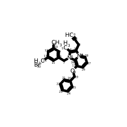 C#CCc1c(C)n(Cc2cc(C)cc(C)c2)c2c(OCc3ccccc3)ccc[n+]12.[Br-]